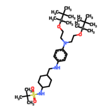 CC(C)(C)[Si](C)(C)OCCN(CCO[Si](C)(C)C(C)(C)C)c1ccc(NCC2CCC(NS(=O)(=O)C(C)(C)C)CC2)cc1